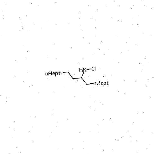 CCCCCCCCCC(CCCCCCCC)NCl